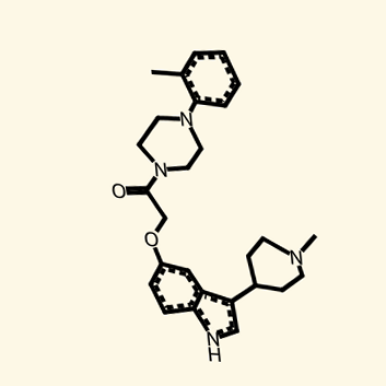 Cc1ccccc1N1CCN(C(=O)COc2ccc3[nH]cc(C4CCN(C)CC4)c3c2)CC1